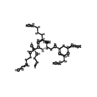 C=CCOP(=O)(OCCN=C=O)OC[C@@H](COCC[C@@H](CCCCCCC)OC(=O)CCCCCCCCCCC)NC(=O)CCCCCCCCCCCCC